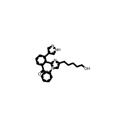 NC(=O)c1cccc(-c2cn[nH]c2)c1-c1nc(CCCCCO)cn1-c1ccccc1